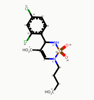 O=C(O)CCCN1C=C(C(=O)O)C(c2ccc(Cl)cc2Cl)NS1(=O)=O